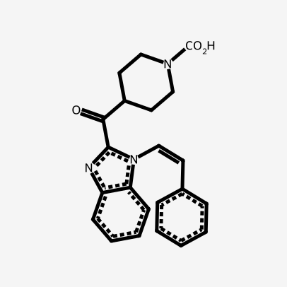 O=C(c1nc2ccccc2n1/C=C\c1ccccc1)C1CCN(C(=O)O)CC1